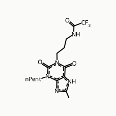 CCCCCn1c(=O)n(CCCNC(=O)C(F)(F)F)c(=O)c2[nH]c(C)nc21